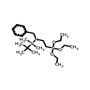 CCO[Si](CCN(Cc1ccccc1)[Si](C)(C)C(C)(C)C)(OCC)OCC